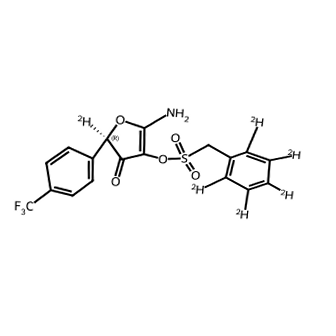 [2H]c1c([2H])c([2H])c(CS(=O)(=O)OC2=C(N)O[C@]([2H])(c3ccc(C(F)(F)F)cc3)C2=O)c([2H])c1[2H]